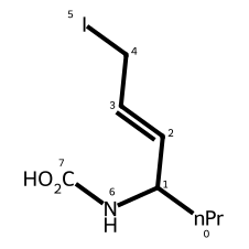 CCCC(C=CCI)NC(=O)O